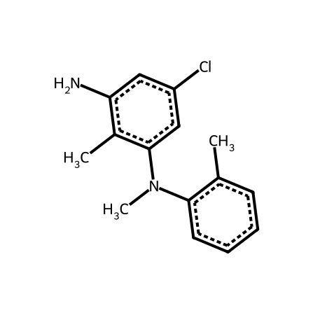 Cc1ccccc1N(C)c1cc(Cl)cc(N)c1C